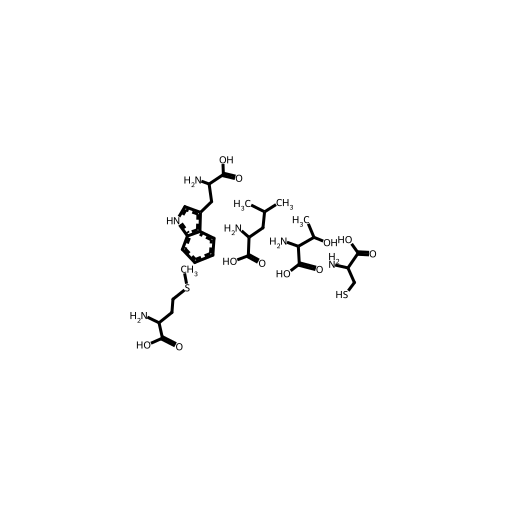 CC(C)CC(N)C(=O)O.CC(O)C(N)C(=O)O.CSCCC(N)C(=O)O.NC(CS)C(=O)O.NC(Cc1c[nH]c2ccccc12)C(=O)O